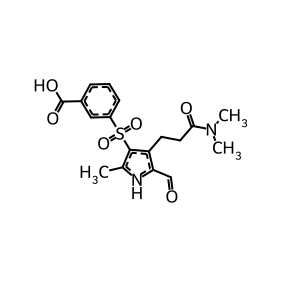 Cc1[nH]c(C=O)c(CCC(=O)N(C)C)c1S(=O)(=O)c1cccc(C(=O)O)c1